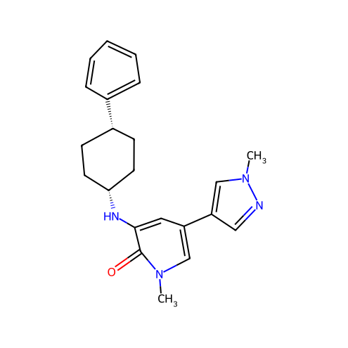 Cn1cc(-c2cc(N[C@H]3CC[C@@H](c4ccccc4)CC3)c(=O)n(C)c2)cn1